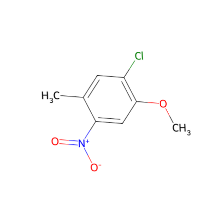 COc1cc([N+](=O)[O-])c(C)cc1Cl